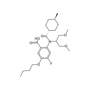 CCCCOc1cc(C(=O)O)c(N(C(=O)[C@H]2CC[C@H](C)CC2)C(COC)COC)cc1F